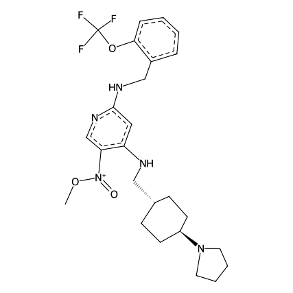 CO[N+](=O)c1cnc(NCc2ccccc2OC(F)(F)F)cc1NC[C@H]1CC[C@H](N2CCCC2)CC1